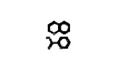 C1=Cc2ccccc2OC1.O=C(O)c1ccccn1